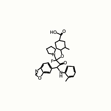 Cc1ccccc1NC(C(=O)C(F)(OC1CCC(C(=O)O)CC1C)N1CCCC1)c1ccc2ncoc2c1